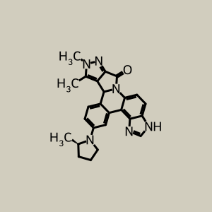 Cc1c2c(nn1C)C(=O)N1c3ccc4[nH]cnc4c3-c3cc(N4CCC[C@H]4C)ccc3C21